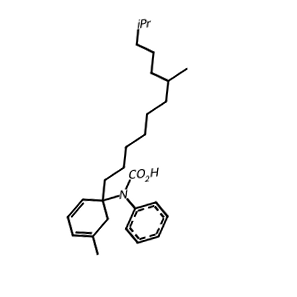 CC1=CC=CC(CCCCCCC(C)CCCC(C)C)(N(C(=O)O)c2ccccc2)C1